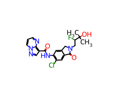 CC(C)(O)[C@H](F)CN1Cc2cc(NC(=O)c3cnn4cccnc34)c(Cl)cc2C1=O